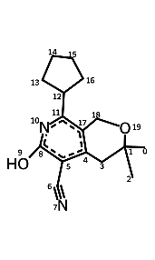 CC1(C)Cc2c(C#N)c(O)nc(C3CCCC3)c2CO1